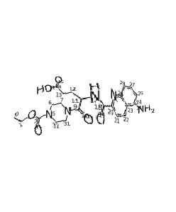 CCOC(=O)N1CCN(C(=O)C(CCC(=O)O)NC(=O)c2ccc3c(N)cccc3n2)CC1